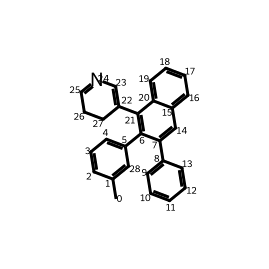 Cc1cccc(-c2c(-c3ccccc3)cc3ccccc3c2C2=CN=CCC2)c1